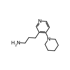 NCCCc1cnccc1N1CCCCC1